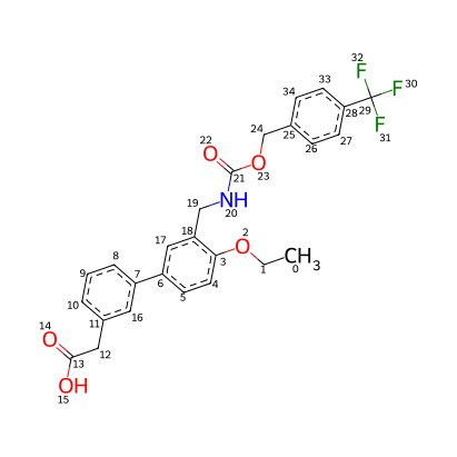 CCOc1ccc(-c2cccc(CC(=O)O)c2)cc1CNC(=O)OCc1ccc(C(F)(F)F)cc1